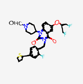 O=CN1CCC(n2c(=O)n(Cc3ccc(-c4cccs4)cc3F)c(=O)c3cc(OC(CF)CF)ccc32)CC1